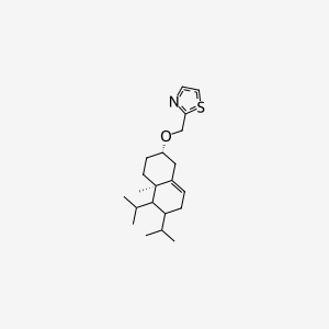 CC(C)C1CC=C2C[C@@H](OCc3nccs3)CC[C@]2(C)C1C(C)C